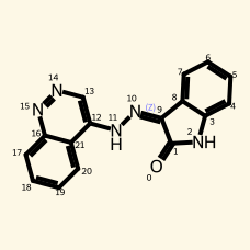 O=C1Nc2ccccc2/C1=N/Nc1cnnc2ccccc12